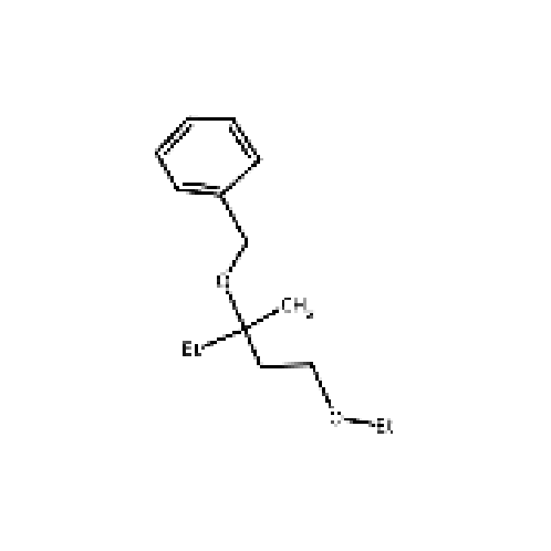 CCOCCC(C)(CC)OCc1ccccc1